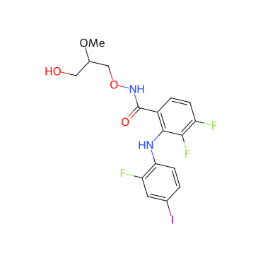 COC(CO)CONC(=O)c1ccc(F)c(F)c1Nc1ccc(I)cc1F